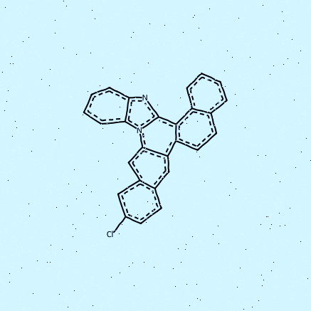 Clc1ccc2cc3c4ccc5ccccc5c4c4nc5ccccc5n4c3cc2c1